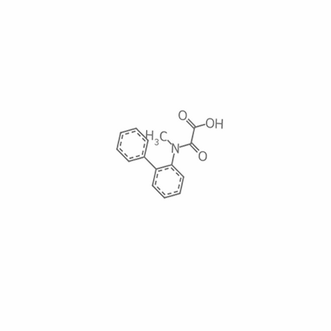 CN(C(=O)C(=O)O)c1ccccc1-c1ccccc1